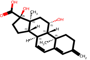 C=C1C=C2C=C[C@@H]3[C@H]([C@@H](O)C[C@@]4(C)[C@H]3CC[C@]4(O)C(=O)O)[C@@]2(C)CC1